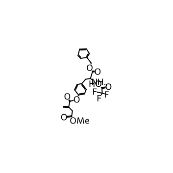 C=C(CC(=O)OC)C(=O)Oc1ccc(CC(N)C(=O)OCc2ccccc2)cc1.O=C(O)C(F)(F)F